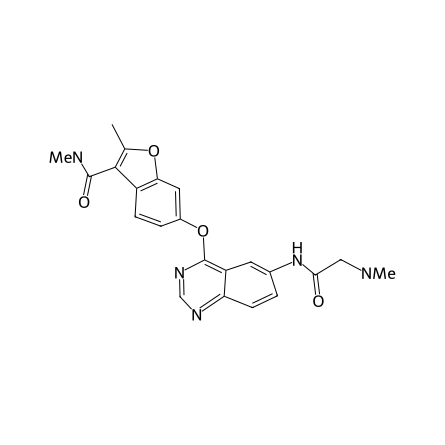 CNCC(=O)Nc1ccc2ncnc(Oc3ccc4c(C(=O)NC)c(C)oc4c3)c2c1